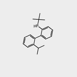 CC(C)c1ccccc1-c1ccccc1PC(C)(C)C